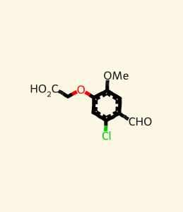 COc1cc(C=O)c(Cl)cc1OCC(=O)O